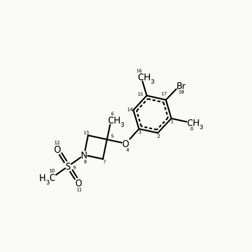 Cc1cc(OC2(C)CN(S(C)(=O)=O)C2)cc(C)c1Br